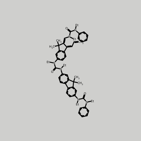 C=C/C=C1\C(=C/N(CC)C(=O)N(CC)c2ccccc2)C(C)(C)c2cc(N(CC)C(=O)N(CC)c3ccc4c(c3)C(C)(C)c3cc(N(CC)C(=O)N(CC)c5ccccc5)ccc3-4)ccc21